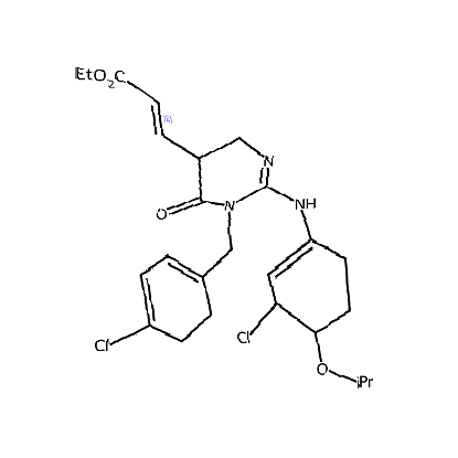 CCOC(=O)/C=C/C1CN=C(NC2=CC(Cl)C(OC(C)C)CC2)N(CC2=CC=C(Cl)CC2)C1=O